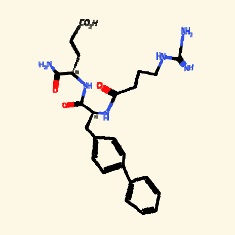 N=C(N)NCCCC(=O)N[C@@H](Cc1ccc(-c2ccccc2)cc1)C(=O)N[C@@H](CCC(=O)O)C(N)=O